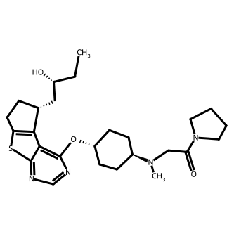 CC[C@@H](O)C[C@H]1CCc2sc3ncnc(O[C@H]4CC[C@H](N(C)CC(=O)N5CCCC5)CC4)c3c21